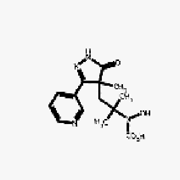 CC1(CC(C)(C)N(O)C(=O)O)C(=O)NN=C1c1cccnc1